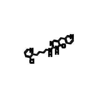 O=c1[nH]c(NCCCCc2ncccc2Cl)ncc1Cc1cccnc1